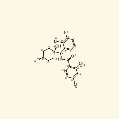 O=C(NC(c1cccc(F)c1Cl)[C@]1(O)CC[C@@H](F)CC1)c1ncc(Cl)cc1C(F)(F)F